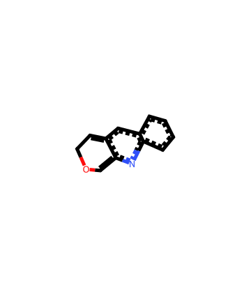 C1=c2cc3ccccc3nc2=COC1